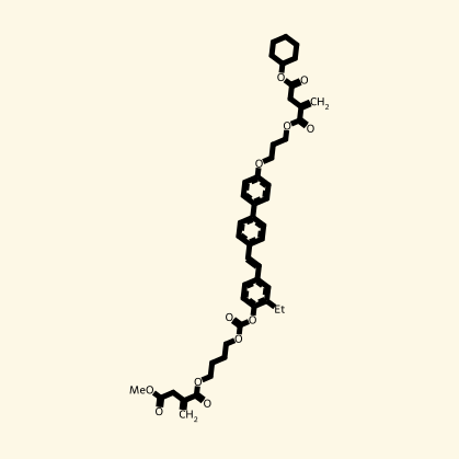 C=C(CC(=O)OC)C(=O)OCCCCOC(=O)Oc1ccc(/C=C/c2ccc(-c3ccc(OCCCOC(=O)C(=C)CC(=O)OC4CCCCC4)cc3)cc2)cc1CC